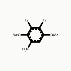 CCc1c(OC)cc(N)c(OC)c1CC